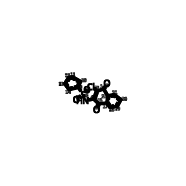 O=C1C(Cl)=C(NS(=O)(=O)c2ccccc2)C(=O)c2ccccc21